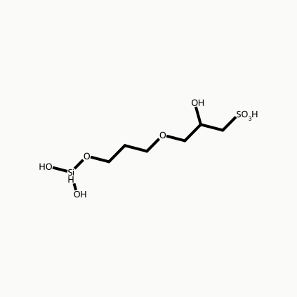 O=S(=O)(O)CC(O)COCCCO[SiH](O)O